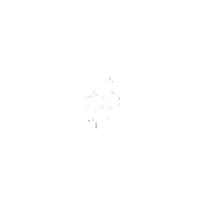 O=S(=O)(S)c1cccc2c(S(=O)(=O)S)cccc12